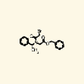 C[C@H](c1ccccc1)N(CC(=O)OCc1ccccc1)C(=O)CBr